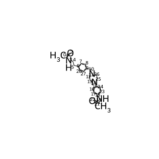 CC(=O)NCCc1ccc(CN2CCN(c3ccc(NC(C)=O)cc3)CC2)cc1